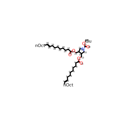 CCCCCCCCC=CCCCCCCCC(=O)OCC1CN(C(=O)OC(C)(C)C)CC1COC(=O)CCCCCCCC=CCCCCCCCC